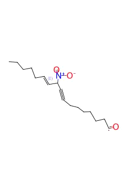 CCCCC/C=C/C(C#CCCCCCC[C]=O)[N+](=O)[O-]